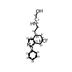 Cl.OCCNCC[C@H]1CCCc2c1cnn2-c1ccccc1